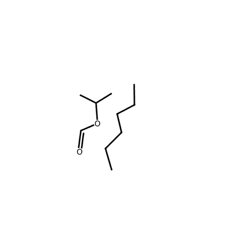 CC(C)OC=O.CCCCCC